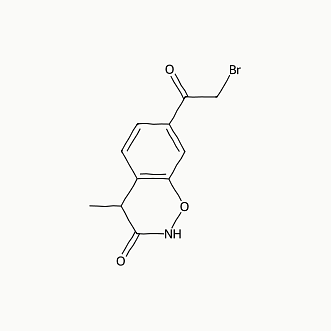 CC1C(=O)NOc2cc(C(=O)CBr)ccc21